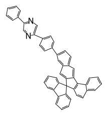 c1ccc(-c2cnc(-c3ccc(-c4ccc5cc6c(cc5c4)C4(c5ccccc5-c5ccccc54)c4ccc5ccccc5c4-6)cc3)cn2)cc1